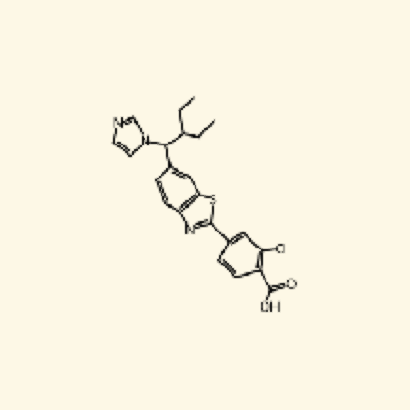 CCC(CC)C(c1ccc2nc(-c3ccc(C(=O)O)c(Cl)c3)sc2c1)n1ccnc1